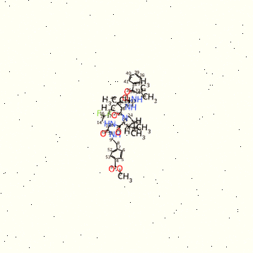 COC(=O)c1ccc(CCNC(=O)[C@H](CC(F)F)NC(=O)[C@@H]2[C@@H]3[C@H](CN2C(=O)[C@@H](NC(=O)N[C@H](C(=O)c2ccccc2)C(C)C)C(C)(C)C)C3(C)C)cc1